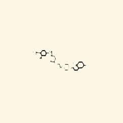 CN(c1ccc(C#N)c(C(F)(F)F)c1)[C@H]1CC[C@H](OCC(=O)N2CCN(c3ccc4cc(Cl)ccc4n3)CC2)CC1